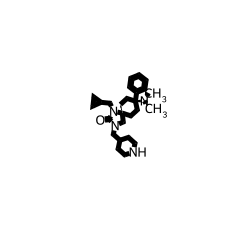 CN(C)[C@]1(c2ccccc2)CC[C@]2(CC1)CN(CC1CCNCC1)C(=O)N2CC1CC1